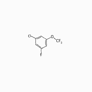 Fc1cc(Cl)cc(OC(F)(F)F)c1